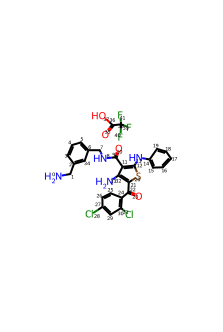 NCc1cccc(CNC(=O)c2c(Nc3ccccc3)sc(C(=O)c3ccc(Cl)cc3Cl)c2N)c1.O=C(O)C(F)(F)F